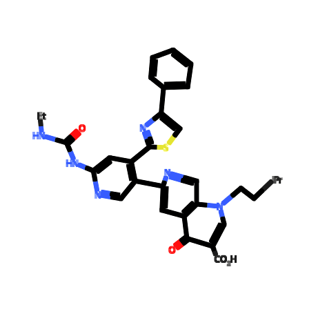 CCNC(=O)Nc1cc(-c2nc(-c3ccccc3)cs2)c(-c2cc3c(=O)c(C(=O)O)cn(CCC(C)C)c3cn2)cn1